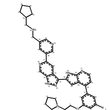 Fc1cc(OCCN2CCCC2)cc(-c2ccnc3[nH]c(-c4n[nH]c5cnc(-c6cncc(CNCC7CCCC7)c6)cc45)cc23)c1